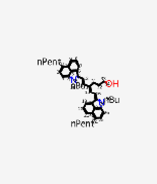 CCCCCc1ccc2c3c(cccc13)C(/C=C/C(=C/C=c1\c3cccc4c(CCCCC)ccc(c43)n1CCCC)CCCO)=[N+]2CCCC